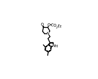 CCOC(=O)OC1CN(CCc2c[nH]c3cc(C)cc(C)c23)CCC1=O